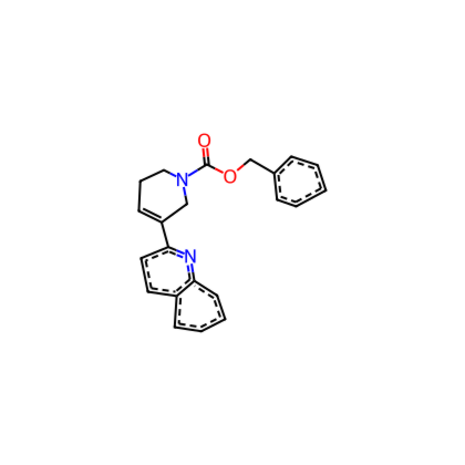 O=C(OCc1ccccc1)N1CCC=C(c2ccc3ccccc3n2)C1